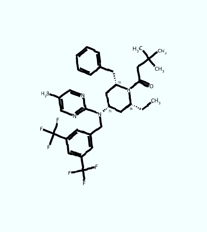 Bc1cnc(N(Cc2cc(C(F)(F)F)cc(C(F)(F)F)c2)[C@H]2C[C@@H](CC)N(C(=O)CC(C)(C)C)[C@@H](Cc3ccccc3)C2)nc1